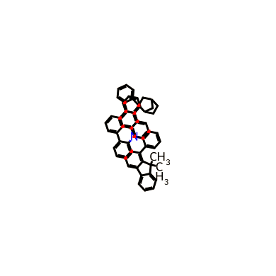 CC1(C)c2ccccc2-c2cccc(-c3ccccc3N(c3ccc4c(c3)C3(CC5CCC3C5)c3ccccc3-4)c3ccccc3-c3cccc(-c4ccccc4-c4ccccc4)c3)c21